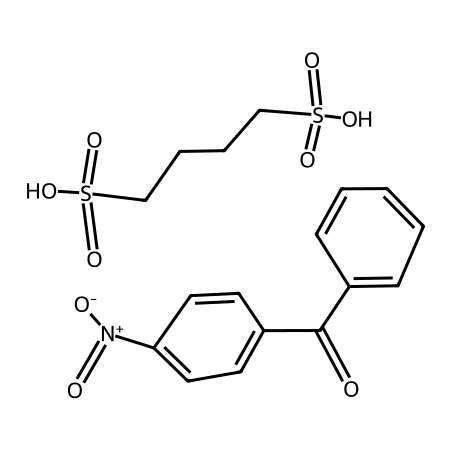 O=C(c1ccccc1)c1ccc([N+](=O)[O-])cc1.O=S(=O)(O)CCCCS(=O)(=O)O